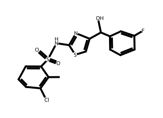 Cc1c(Cl)cccc1S(=O)(=O)Nc1nc(C(O)c2cccc(F)c2)cs1